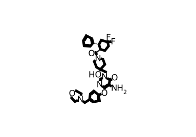 Nc1c(Oc2ccc(CN3CCOCC3)cc2)ncn(CC2(O)CCN(C(=O)[C@@H]3CCC(F)(F)C[C@H]3c3ccccc3)CC2)c1=O